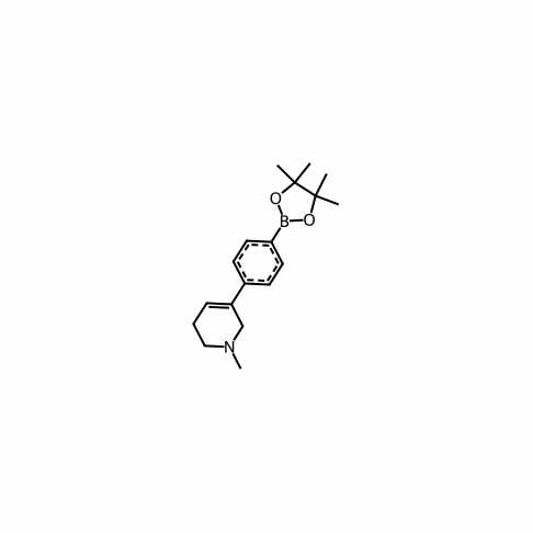 CN1CCC=C(c2ccc(B3OC(C)(C)C(C)(C)O3)cc2)C1